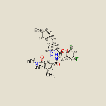 CCCN(CCC)C(=O)c1cc(C)cc(C(=O)N[C@@H](Cc2cc(F)cc(F)c2)[C@H](O)[C@H]2C[C@@H](Cc3ccc(CC)cc3)CCN2)c1